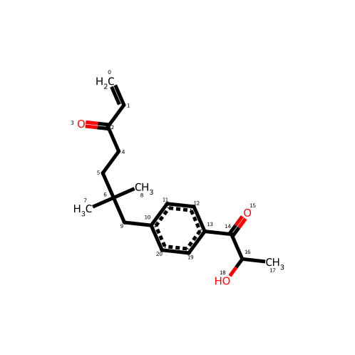 C=CC(=O)CCC(C)(C)Cc1ccc(C(=O)C(C)O)cc1